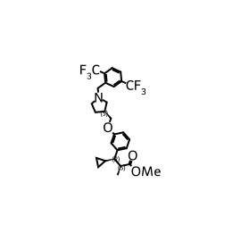 COC(=O)[C@@H](C)[C@H](c1cccc(OC[C@H]2CCN(Cc3cc(C(F)(F)F)ccc3C(F)(F)F)C2)c1)C1CC1